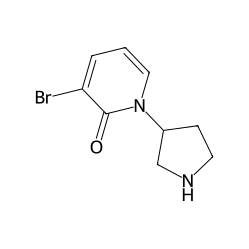 O=c1c(Br)cccn1C1CCNC1